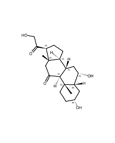 C[C@]12CC[C@@H](O)C[C@H]1[C@@H](O)C[C@H]1[C@@H]3CC[C@H](C(=O)CO)[C@@]3(C)CC(=O)[C@@H]12